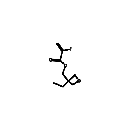 C=C(F)C(=O)OCC1(CC)COC1